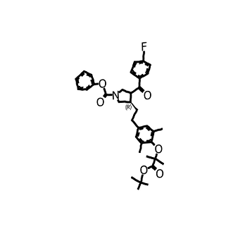 Cc1cc(CC[C@H]2CN(C(=O)Oc3ccccc3)CC2C(=O)c2ccc(F)cc2)cc(C)c1OC(C)(C)C(=O)OC(C)(C)C